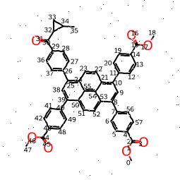 COC(=O)c1ccc(-c2cc(-c3ccc(C(=O)OC)cc3)c3ccc4c(-c5ccc(C(=O)C6CC6C)cc5)cc(-c5ccc(C(=O)OC)cc5)c5ccc2c3c54)cc1